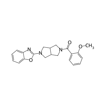 COc1ccccc1C(=O)N1CC2CN(c3nc4ccccc4o3)CC2C1